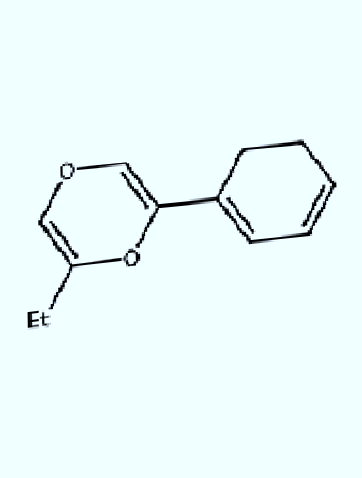 [CH2]CC1=COC=C(C2=CC=CCC2)O1